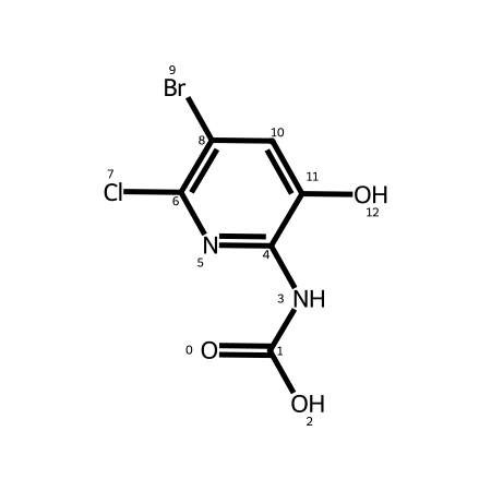 O=C(O)Nc1nc(Cl)c(Br)cc1O